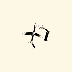 C=COC(C)=O.COS(=O)(=O)O